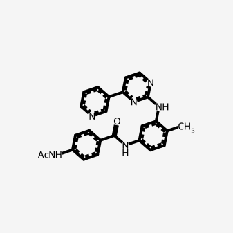 CC(=O)Nc1ccc(C(=O)Nc2ccc(C)c(Nc3nccc(-c4cccnc4)n3)c2)cc1